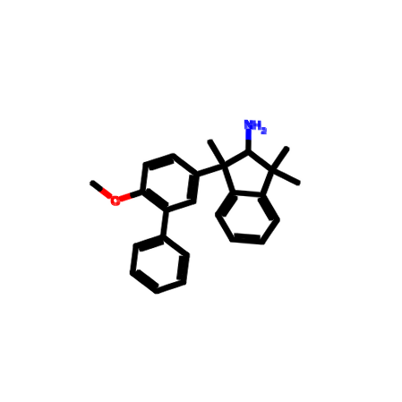 COc1ccc(C2(C)c3ccccc3C(C)(C)C2N)cc1-c1ccccc1